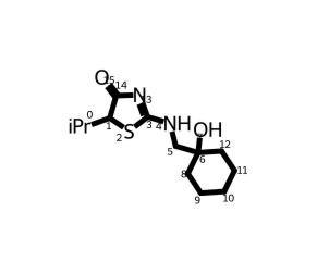 CC(C)C1SC(NCC2(O)CCCCC2)=NC1=O